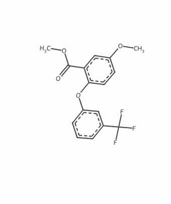 COC(=O)c1cc(OC)ccc1Oc1cccc(C(F)(F)F)c1